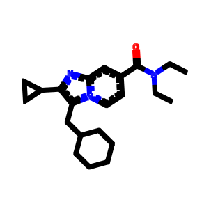 CCN(CC)C(=O)c1ccn2c(CC3CCCCC3)c(C3CC3)nc2c1